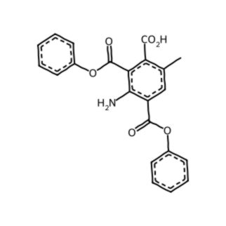 Cc1cc(C(=O)Oc2ccccc2)c(N)c(C(=O)Oc2ccccc2)c1C(=O)O